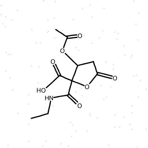 CCNC(=O)C1(C(=O)O)OC(=O)CC1OC(C)=O